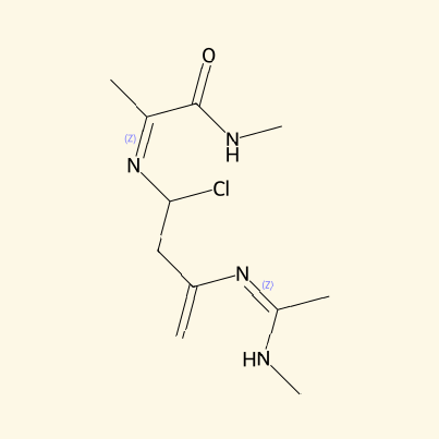 C=C(CC(Cl)/N=C(/C)C(=O)NC)/N=C(/C)NC